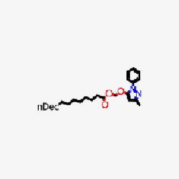 CCCCCCCCCCCCCCCCCC(=O)OCOc1cc(C)nn1-c1ccccc1